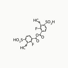 C#Cc1c(S(=O)(=O)O)ccc(C(=O)OC(=O)c2ccc(S(=O)(=O)O)c(C#C)c2F)c1F